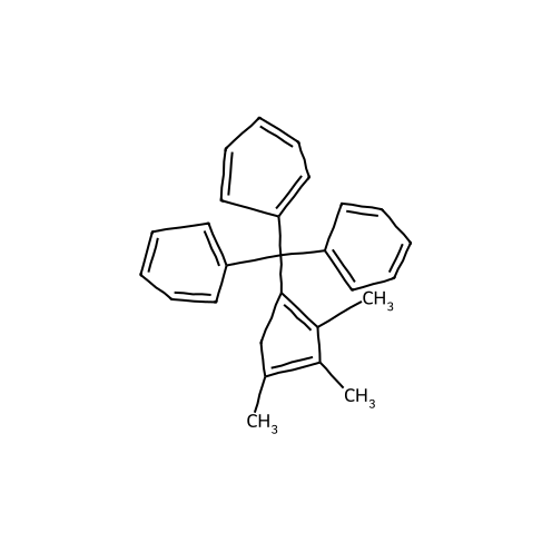 CC1=C(C)C(C)=C(C(c2ccccc2)(c2ccccc2)c2ccccc2)C1